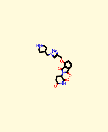 O=C1CCC(N2C(=O)c3cccc(OCc4cn(CC5CCNCC5)nn4)c3C2=O)C(=O)N1